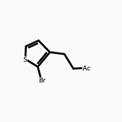 CC(=O)CCc1ccsc1Br